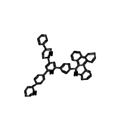 c1ccc(-c2ccc(-c3cc(-c4ccc(-c5ccccn5)cc4)nc(-c4ccc(-c5nc6ccccc6c6c7ccccc7c7ccccc7c56)cc4)c3)nc2)cc1